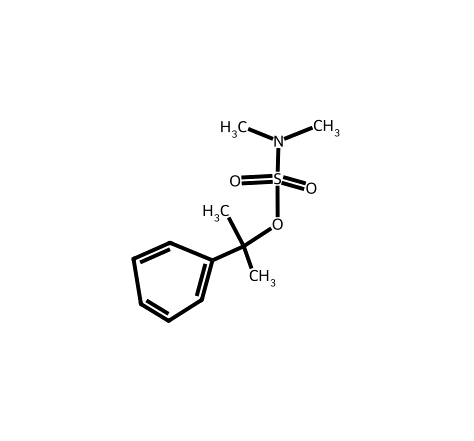 CN(C)S(=O)(=O)OC(C)(C)c1ccccc1